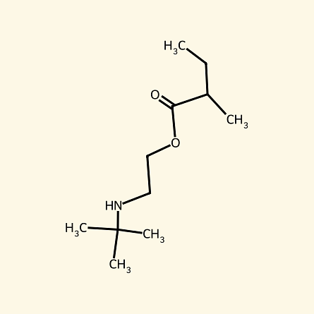 CCC(C)C(=O)OCCNC(C)(C)C